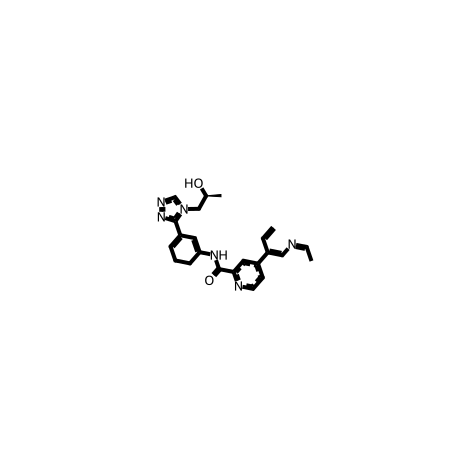 C=C/C(=C\N=C/C)c1ccnc(C(=O)NC2=CC(c3nncn3C[C@H](C)O)=CCC2)c1